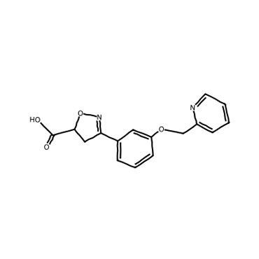 O=C(O)C1CC(c2cccc(OCc3ccccn3)c2)=NO1